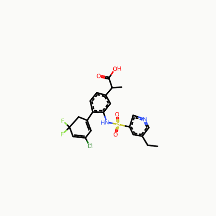 CCc1cncc(S(=O)(=O)Nc2cc(C(C)C(=O)O)ccc2C2=CC(Cl)=CC(F)(F)C2)c1